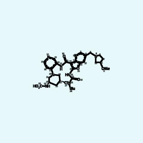 COC1CCN(Cc2cnc3c(C(=O)Nc4cnccc4N4C[C@@H](NC(=O)O)C[C@@H](C(F)(F)F)C4)c(NC(=O)OC(C)(C)C)oc3c2)C1